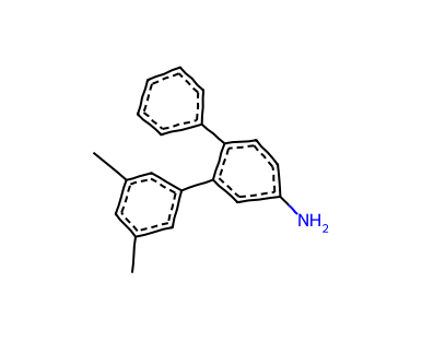 Cc1cc(C)cc(-c2cc(N)ccc2-c2ccccc2)c1